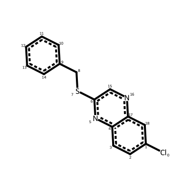 Clc1ccc2nc(SCc3ccccc3)cnc2c1